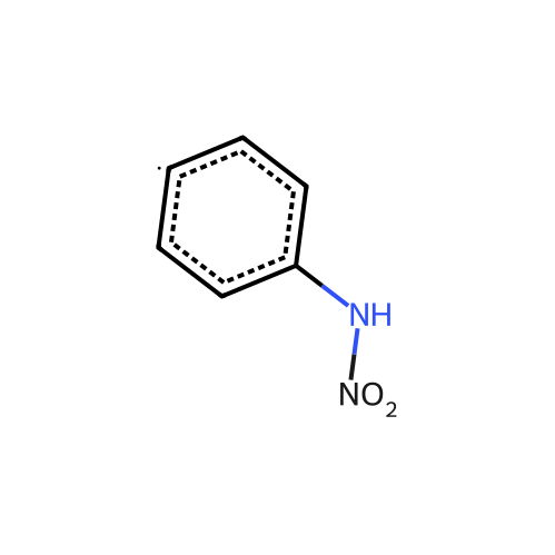 O=[N+]([O-])Nc1cc[c]cc1